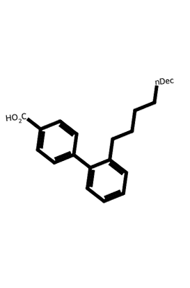 CCCCCCCCCCCCCCc1ccccc1-c1ccc(C(=O)O)cc1